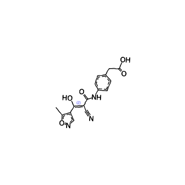 Cc1oncc1/C(O)=C(\C#N)C(=O)Nc1ccc(CC(=O)O)cc1